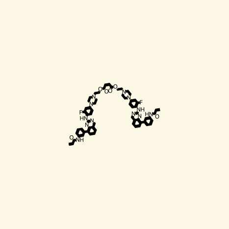 C=CC(=O)Nc1cccc(-c2cccc3cnc(Nc4ccc(N5CCN(CCOC(=O)/C=C\C(=O)OCCN6CCN(c7ccc(Nc8ncc9cccc(-c%10cccc(NC(=O)C=C)c%10)c9n8)c(F)c7)CC6)CC5)cc4F)nc23)c1